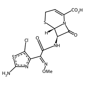 CON=C(C(=O)N[C@@H]1C(=O)N2C(C(=O)O)=CCS[C@@H]12)c1nc(N)sc1Cl